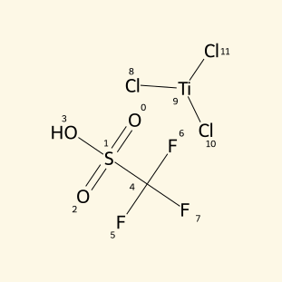 O=S(=O)(O)C(F)(F)F.[Cl][Ti]([Cl])[Cl]